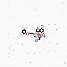 O=S(=O)(NC(CCl)N1CCN(CCCOc2ccccc2)CC1)c1ccc(Cl)c2ncccc12